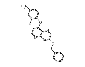 Nc1ccc(Oc2ccnc3cc(OCc4ccccc4)cnc23)c(F)c1